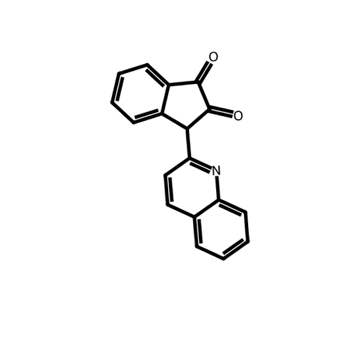 O=C1C(=O)C(c2ccc3ccccc3n2)c2ccccc21